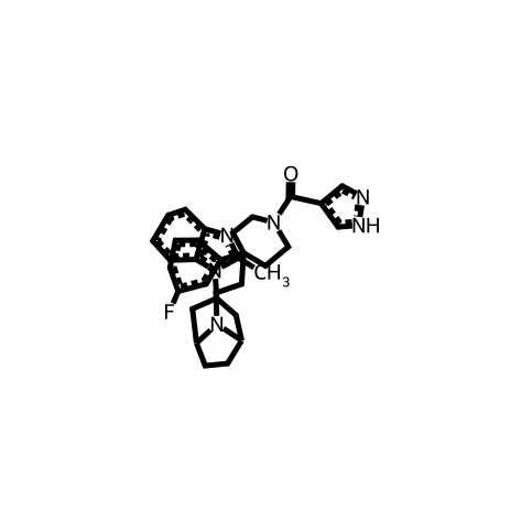 Cc1nc2ccccc2n1C1CC2CCC(C1)N2CCC1(c2cccc(F)c2)CCN(C(=O)c2cn[nH]c2)CC1